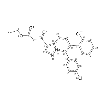 CCOC(=O)CC(=O)c1cnn2c(-c3ccc(Cl)cc3)c(-c3ccccc3Cl)cnc12